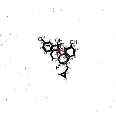 CO[C@]12CC[C@@]3(C[C@@H]1C(C)(O)c1cccc(Cl)c1)[C@H]1Cc4ccc(O)c5c4[C@@]3(CCN1CC1CC1)[C@H]2O5